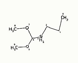 CCC[SiH2]C(OC)OC